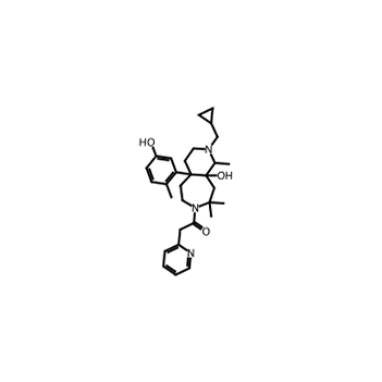 Cc1ccc(O)cc1C12CCN(CC3CC3)C(C)C1(O)CC(C)(C)N(C(=O)Cc1ccccn1)CC2